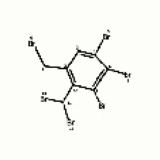 BrCc1cc(Br)c(Br)c(Br)c1C(Br)Br